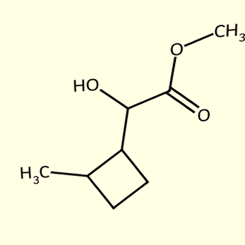 COC(=O)C(O)C1CCC1C